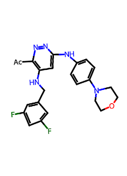 CC(=O)c1nnc(Nc2ccc(N3CCOCC3)cc2)cc1NCc1cc(F)cc(F)c1